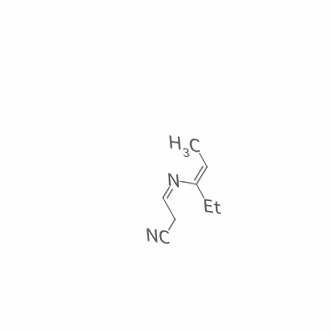 C/C=C(CC)\N=C/CC#N